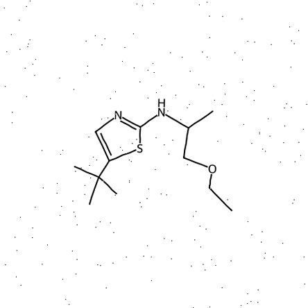 CCOCC(C)Nc1ncc(C(C)(C)C)s1